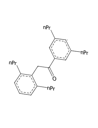 CCCc1[c]c(CCC)cc(C(=O)Cc2c(CCC)cccc2CCC)c1